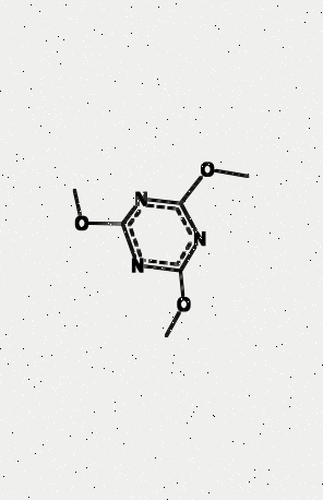 COc1nc(OC)nc(OC)n1